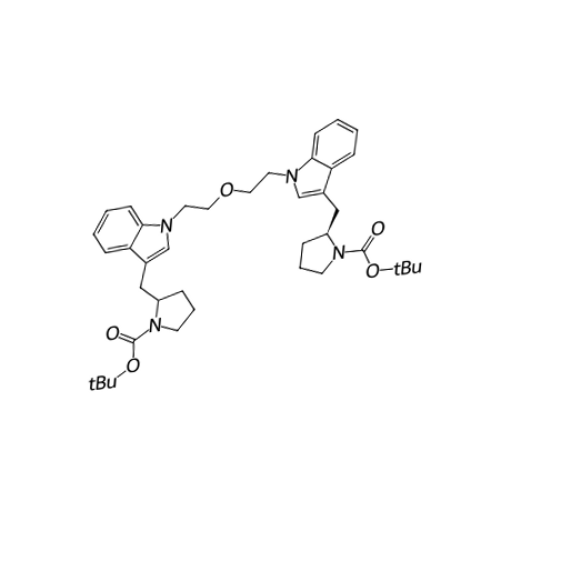 CC(C)(C)OC(=O)N1CCCC1Cc1cn(CCOCCn2cc(C[C@@H]3CCCN3C(=O)OC(C)(C)C)c3ccccc32)c2ccccc12